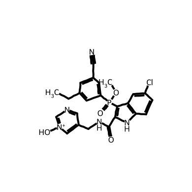 CCc1cc(C#N)cc(P(=O)(OC)c2c(C(=O)NCc3cnc[n+](O)c3)[nH]c3ccc(Cl)cc23)c1